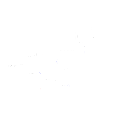 CCCCC(Cn1c(=O)c2cnccc2n(Cc2cn(C)c3cccc(C)c23)c1=O)C(=O)O